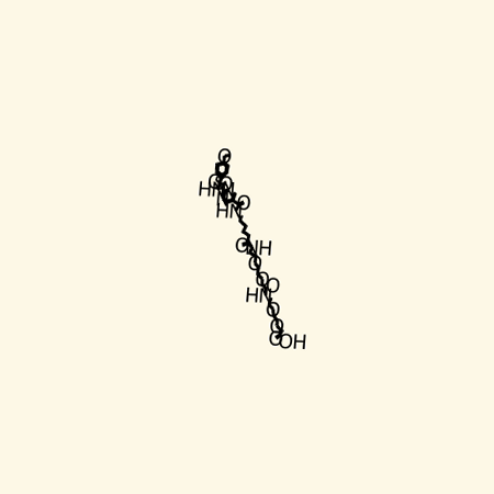 COc1ccc(S(=O)(=O)Nc2ncc(C(=O)NCCCCCC(=O)NCCOCCOCC(=O)NCCOCCOCC(=O)O)cn2)cc1